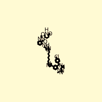 Cc1nnc2n1-c1ccc(-c3cnn(CCCCCCn4cc(CNc5cccc6nc(C)n(C7CCC(=O)NC7=O)c(=O)c56)nn4)c3)cc1C(c1ccc(Cl)cc1)=NC21CC1